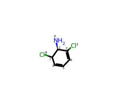 N[C@H]1C(Cl)=CC=CC1Cl